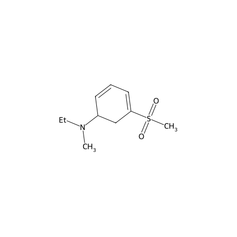 CCN(C)C1C=CC=C(S(C)(=O)=O)C1